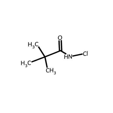 CC(C)(C)C(=O)NCl